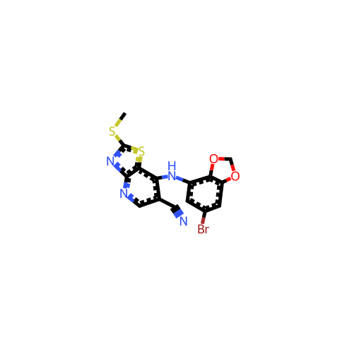 CSc1nc2ncc(C#N)c(Nc3cc(Br)cc4c3OCO4)c2s1